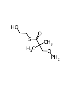 CC(C)(COP)C(=O)SCCO